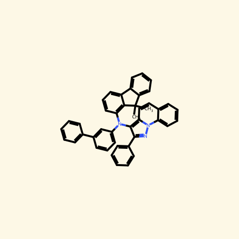 CC1(C)c2ccccc2-c2cccc(N(c3cccc(-c4ccccc4)c3)c3c(-c4ccccc4)nn4c3ccc3ccccc34)c21